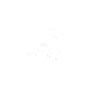 COC(=O)c1cc(Nc2nn([C@@H]3CCCC[C@H]3C#N)cc2C(N)=O)ccc1Br